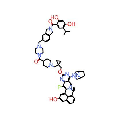 C#Cc1cccc2cc(O)cc(-c3ncc4c(N5CC6CCC(C5)N6)nc(OCC5(CN6CCC(C(=O)N7CCN(Cc8ccc9c(c8)CN(C(=O)c8cc(C(C)C)c(O)cc8O)C9)CC7)CC6)CC5)nc4c3F)c12